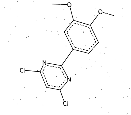 COc1ccc(-c2nc(Cl)cc(Cl)n2)cc1OC